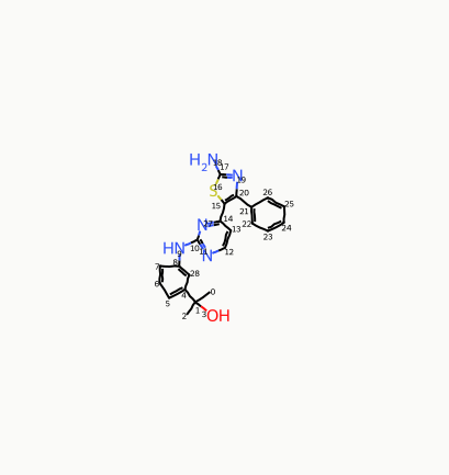 CC(C)(O)c1cccc(Nc2nccc(-c3sc(N)nc3-c3ccccc3)n2)c1